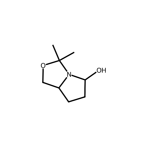 CC1(C)OCC2CCC(O)N21